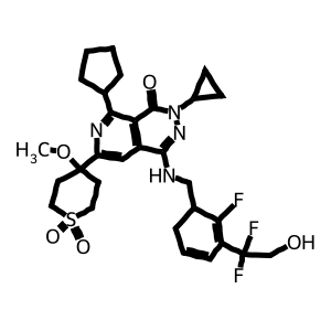 COC1(c2cc3c(NCC4CC=CC(C(F)(F)CO)=C4F)nn(C4CC4)c(=O)c3c(C3CCCC3)n2)CCS(=O)(=O)CC1